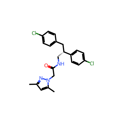 Cc1cc(C)n(CC(=O)NC[C@H](Cc2ccc(Cl)cc2)c2ccc(Cl)cc2)n1